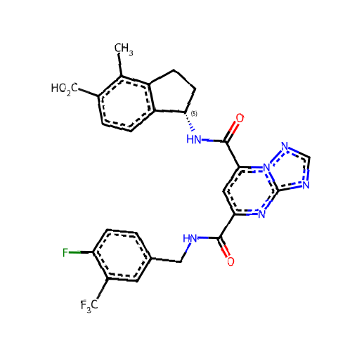 Cc1c(C(=O)O)ccc2c1CC[C@@H]2NC(=O)c1cc(C(=O)NCc2ccc(F)c(C(F)(F)F)c2)nc2ncnn12